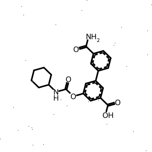 NC(=O)c1cccc(-c2cc(OC(=O)NC3CCCCC3)cc(C(=O)O)c2)c1